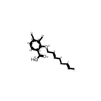 CC=CCCC=CCOc1c(C(=O)O)ccc(C)c1C